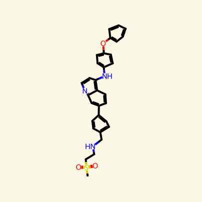 CS(=O)(=O)CCNCc1ccc(-c2ccc3c(Nc4ccc(Oc5ccccc5)cc4)ccnc3c2)cc1